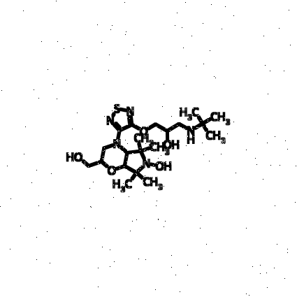 CC(C)(C)NCC(O)COc1nsnc1N1CC(CO)OC2C1C(C)(C)N(O)C2(C)C